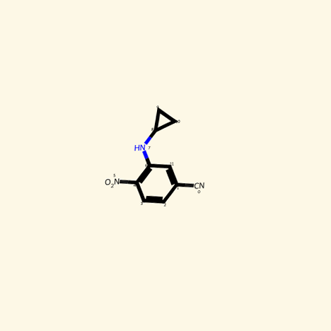 N#Cc1ccc([N+](=O)[O-])c(NC2CC2)c1